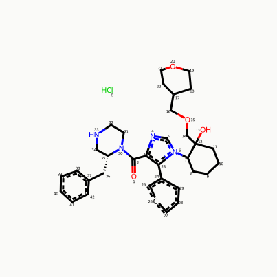 Cl.O=C(c1ncn(C2CCCCC2(O)COCC2CCOCC2)c1-c1ccccc1)N1CCNC[C@H]1Cc1ccccc1